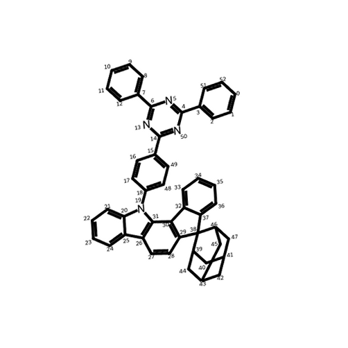 c1ccc(-c2nc(-c3ccccc3)nc(-c3ccc(-n4c5ccccc5c5ccc6c(c54)-c4ccccc4C64C5CC6CC(C5)CC4C6)cc3)n2)cc1